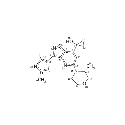 Cc1cc(-c2nsc3c(C4(O)CC4)cc(N4CCOC[C@H]4C)nc23)[nH]n1